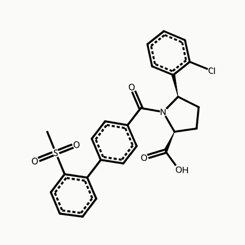 CS(=O)(=O)c1ccccc1-c1ccc(C(=O)N2[C@@H](c3ccccc3Cl)CC[C@H]2C(=O)O)cc1